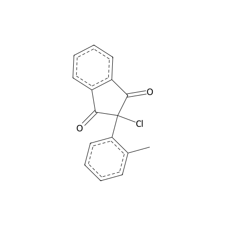 Cc1ccccc1C1(Cl)C(=O)c2ccccc2C1=O